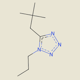 CCCn1nnnc1CC(C)(C)C